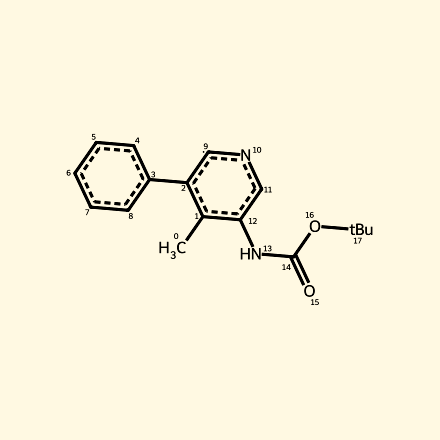 Cc1c(-c2ccccc2)[c]ncc1NC(=O)OC(C)(C)C